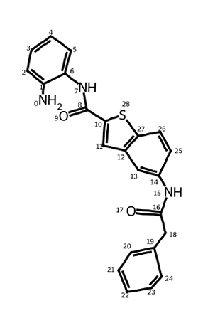 Nc1ccccc1NC(=O)c1cc2cc(NC(=O)Cc3ccccc3)ccc2s1